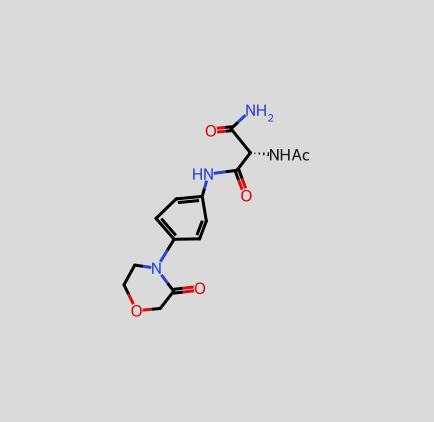 CC(=O)N[C@@H](C(N)=O)C(=O)Nc1ccc(N2CCOCC2=O)cc1